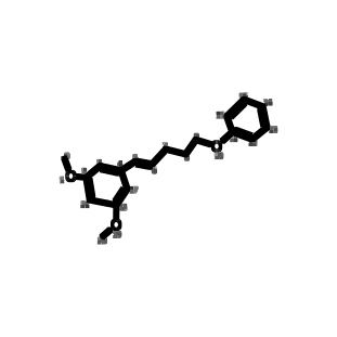 COc1cc(C=CCCCOc2ccccc2)cc(OC)c1